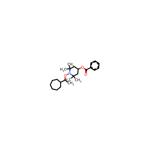 CC(ON1C(C)(C)CC(OC(=O)c2ccccc2)CC1(C)C)C1CCCCCC1